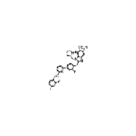 CC(=O)N1CCC[C@@H]1Cn1c(Cc2ccc(-c3cccc(OCc4ccc(C)cc4F)n3)cc2F)nc2ccc(C(=O)O)cc21